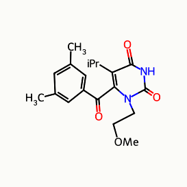 COCCn1c(C(=O)c2cc(C)cc(C)c2)c(C(C)C)c(=O)[nH]c1=O